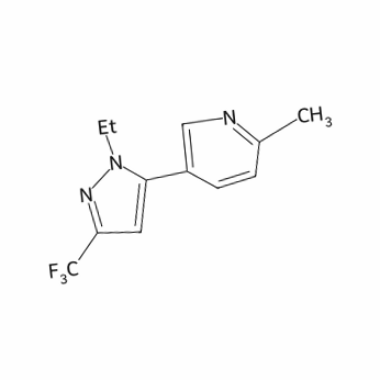 CCn1nc(C(F)(F)F)cc1-c1ccc(C)nc1